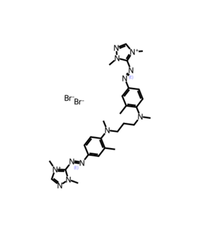 Cc1cc(/N=N/c2n(C)nc[n+]2C)ccc1N(C)CCCN(C)c1ccc(/N=N/c2n(C)nc[n+]2C)cc1C.[Br-].[Br-]